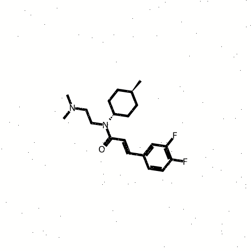 CN(C)CCN(C(=O)C=Cc1ccc(F)c(F)c1)[C@H]1CC[C@H](C)CC1